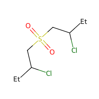 CCC(Cl)CS(=O)(=O)CC(Cl)CC